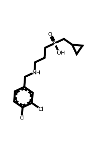 O=P(O)(CCCNCc1ccc(Cl)c(Cl)c1)CC1CC1